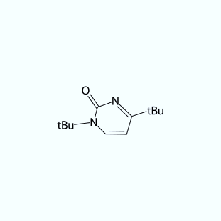 CC(C)(C)c1ccn(C(C)(C)C)c(=O)n1